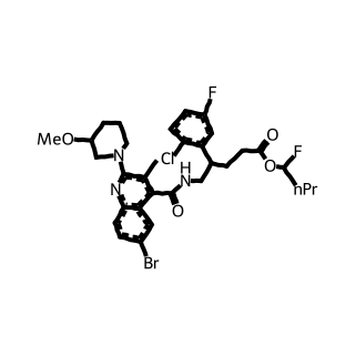 CCCC(F)OC(=O)CCC(CNC(=O)c1c(C)c(N2CCCC(OC)C2)nc2ccc(Br)cc12)c1cc(F)ccc1Cl